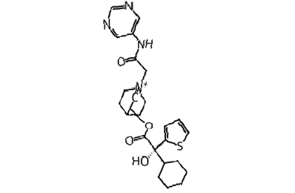 O=C(C[N+]12CCC(CC1)C(OC(=O)[C@@](O)(c1cccs1)C1CCCCC1)C2)Nc1cncnc1